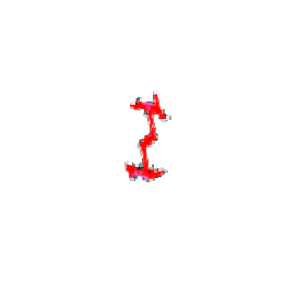 Cc1ccc2c(c1)C(C)(C)/C(=C/C=C/C=C/C1=[N+](CCCCCC(=O)O)c3ccc(SOOO)cc3C1(C)C)N2CCCCCC(=O)CCCOCCOCCCC(=O)C(F)(F)OC(F)(F)C(F)(F)OC(F)(F)C(=O)NCCOCCOCCNC(=O)CN1\C(=C/C=C/C=C/C2=[N+](CC(=O)O)c3ccc(S(=O)(=O)O)cc3C2(C)C)C(C)(C)c2cc(SOOO)ccc21